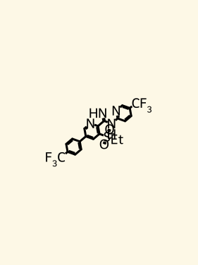 CCS(=O)(=O)c1cc(-c2ccc(C(F)(F)F)cc2)cnc1C(=N)Nc1ccc(C(F)(F)F)cn1